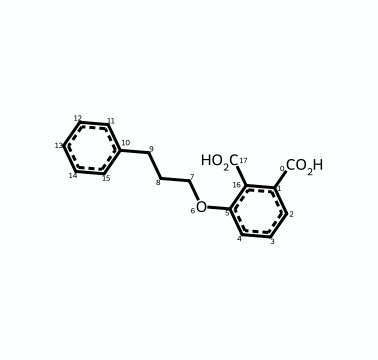 O=C(O)c1cccc(OCCCc2ccccc2)c1C(=O)O